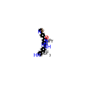 CC(C)n1c(=O)c(-c2ccc(-c3nccs3)cc2)cc2cnc(Nc3ccc(C4=CCNCC4)c(C(F)(F)F)c3)nc21